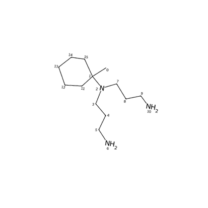 CC1(N(CCCN)CCCN)CCCCC1